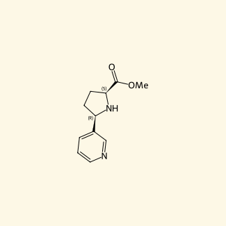 COC(=O)[C@@H]1CC[C@H](c2cccnc2)N1